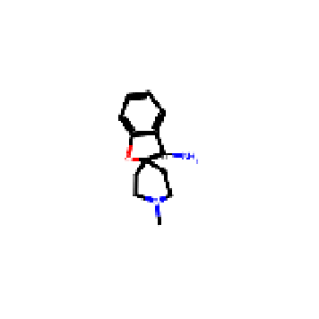 CN1CCC2(CC1)Oc1ccccc1[C@H]2N